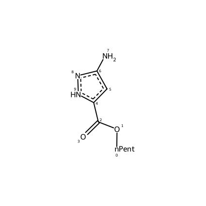 CCCCCOC(=O)c1cc(N)n[nH]1